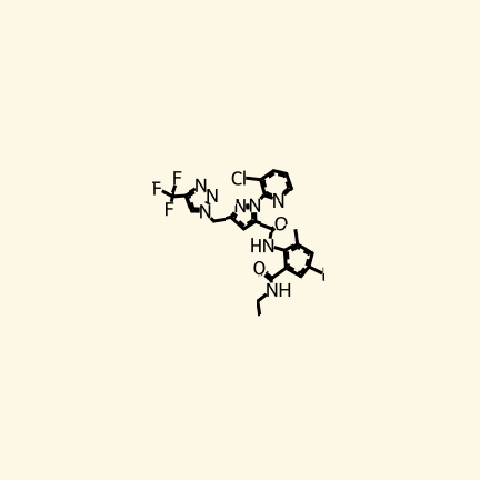 CCNC(=O)c1cc(I)cc(C)c1NC(=O)c1cc(Cn2cc(C(F)(F)F)nn2)nn1-c1ncccc1Cl